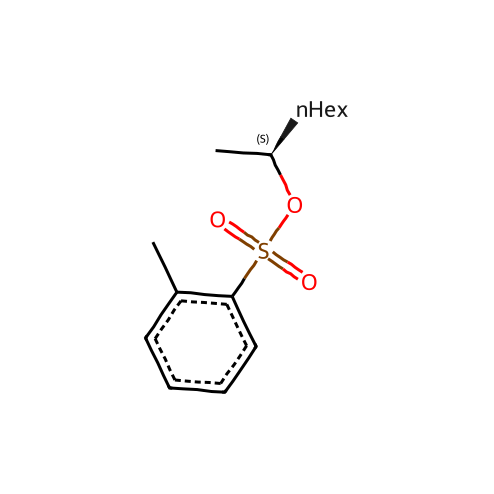 CCCCCC[C@H](C)OS(=O)(=O)c1ccccc1C